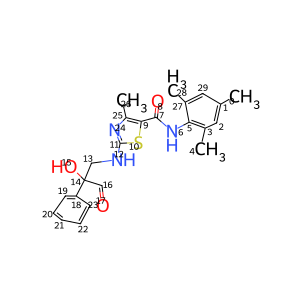 Cc1cc(C)c(NC(=O)c2sc(NCC(O)(C=O)c3ccccc3)nc2C)c(C)c1